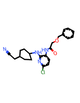 N#CCC1CCC(Nc2nc(Cl)ccc2NC(=O)COCc2ccccc2)CC1